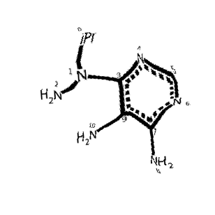 CC(C)N(N)c1ncnc(N)c1N